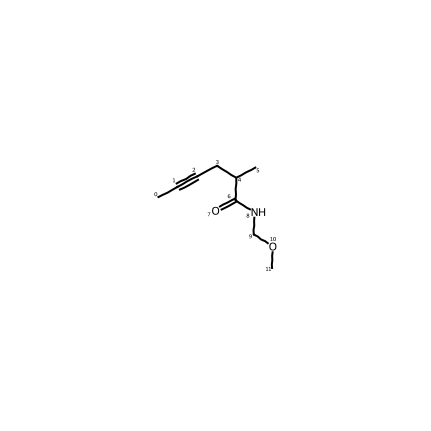 CC#CCC(C)C(=O)NCOC